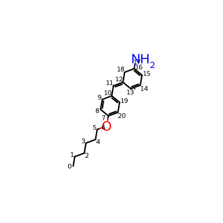 CCCCCCOc1ccc(C=C2[C]=CC=C(N)C2)cc1